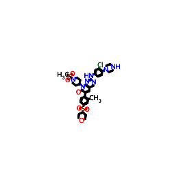 Cc1cc(S(=O)(=O)C2CCOCC2)ccc1-c1cc2cnc(Nc3ccc(N4CCNCC4)c(Cl)c3)nc2n(C2CCN(S(C)(=O)=O)CC2)c1=O